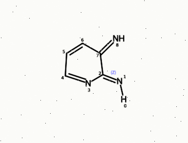 [H]/N=C1\N=CC=CC1=N